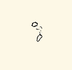 Cc1ccc(N2CCN(/N=C/c3ccc(F)cc3)CC2)cc1